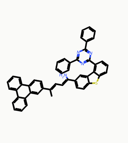 C/C(=C\C=C(/N)c1ccc2sc3cccc(-c4nc(-c5ccccc5)nc(-c5ccccc5)n4)c3c2c1)c1ccc2c3ccccc3c3ccccc3c2c1